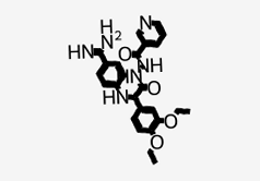 CCOc1ccc(C(Nc2ccc(C(=N)N)cc2)C(=O)NNC(=O)c2cccnc2)cc1OCC